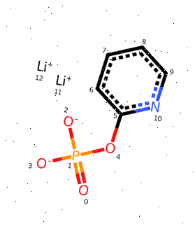 O=P([O-])([O-])Oc1ccccn1.[Li+].[Li+]